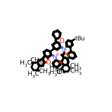 CC(C)(C)c1ccc(N2B3c4c(cc5c(oc6ccccc65)c4N(c4ccc(C(C)(C)C)cc4-c4ccccc4)c4sc5cc6c(cc5c43)C(C)(C)CCC6(C)C)-c3ccc4c(oc5cc6c(cc54)C(C)(C)CCC6(C)C)c32)cc1